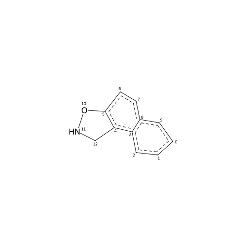 c1ccc2c3c(ccc2c1)ONC3